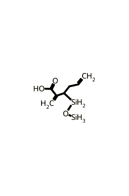 C=CCC([SiH2]O[SiH3])C(=C)C(=O)O